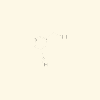 C#Cc1cccc(C=N)c1